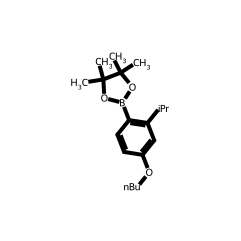 CCCCOc1ccc(B2OC(C)(C)C(C)(C)O2)c(C(C)C)c1